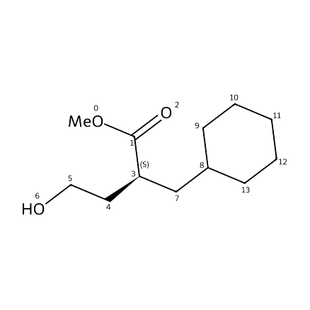 COC(=O)[C@H](CCO)CC1CCCCC1